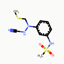 CSCN(NC#N)c1cccc(NS(C)(=O)=O)c1